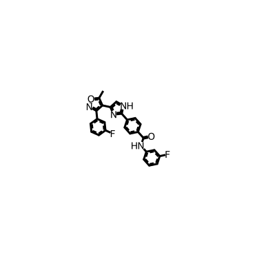 Cc1onc(-c2cccc(F)c2)c1-c1c[nH]c(-c2ccc(C(=O)Nc3cccc(F)c3)cc2)n1